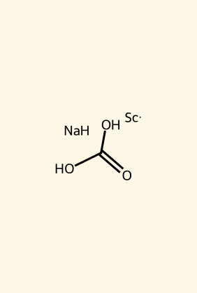 O=C(O)O.[NaH].[Sc]